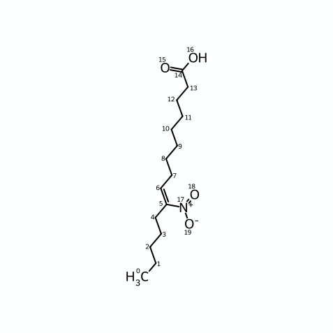 CCCCC/C(=C/CCCCCCCC(=O)O)[N+](=O)[O-]